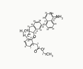 CCOC(=O)Cc1ccccc1OC1c2cc(-c3cccc4c(N)nccc34)ccc2CC1(C)C